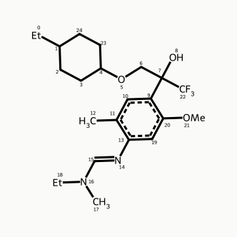 CCC1CCC(OCC(O)(c2cc(C)c(/N=C/N(C)CC)cc2OC)C(F)(F)F)CC1